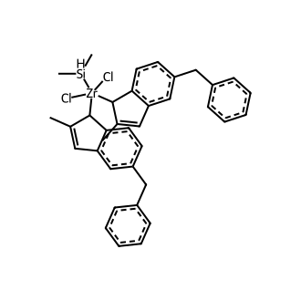 CC1=Cc2cc(Cc3ccccc3)ccc2[CH]1[Zr]([Cl])([Cl])([CH]1C(C)=Cc2cc(Cc3ccccc3)ccc21)[SiH](C)C